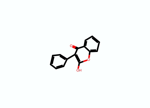 O=c1c(-c2ccccc2)c(O)oc2ccccc12